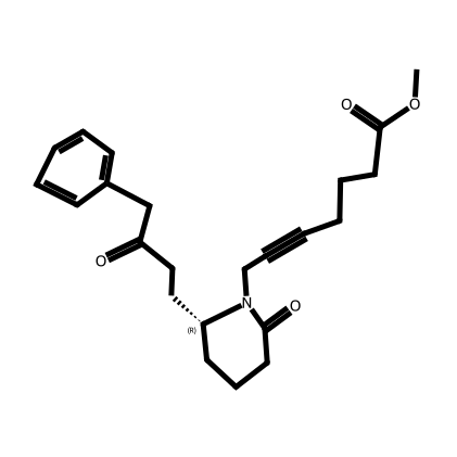 COC(=O)CCCC#CCN1C(=O)CCC[C@@H]1CCC(=O)Cc1ccccc1